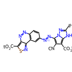 [C-]#[N+]c1c(C(=O)OCC)c2[nH]c(C(C)C)nn2c1/N=N/c1ccc2nnc3c(C(=O)OCC)snc3c2c1